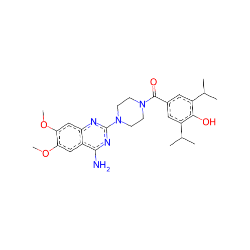 COc1cc2nc(N3CCN(C(=O)c4cc(C(C)C)c(O)c(C(C)C)c4)CC3)nc(N)c2cc1OC